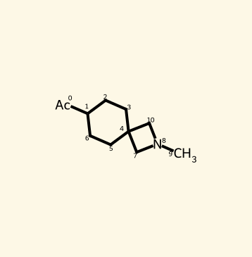 CC(=O)C1CCC2(CC1)CN(C)C2